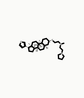 CN(CCS[C@H]1CC[C@@]2(C)[C@H](CC[C@@H]3[C@@H]2CC[C@]2(C)[C@@H](c4ccoc4)CC[C@]32O)C1)CCN1CCCC1